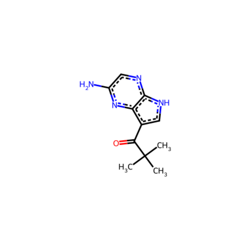 CC(C)(C)C(=O)c1c[nH]c2ncc(N)nc12